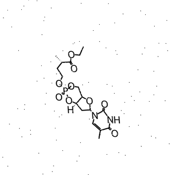 CCOC(=O)[C@@H](C)CCO[P@]1(=O)OCC2O[C@H](n3cc(C)c(=O)[nH]c3=O)C[C@H]2O1